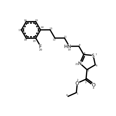 CCOC(=O)C1CSC(CNCCCc2ccccc2F)=N1